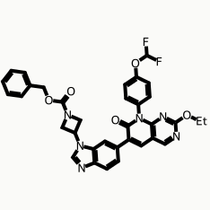 CCOc1ncc2cc(-c3ccc4ncn(C5CN(C(=O)OCc6ccccc6)C5)c4c3)c(=O)n(-c3ccc(OC(F)F)cc3)c2n1